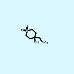 COCC1(O)CCS(=O)(=O)CC1